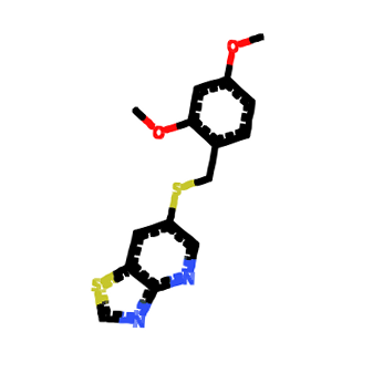 COc1ccc(CSc2cnc3ncsc3c2)c(OC)c1